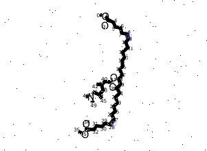 COC(=O)CCCC/C=C\CCCCCCCCC(CCCCCCCC/C=C\CCCCC(=O)OC)OC(=O)CC(C)CC(C)CN(C)C